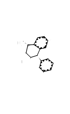 Cl.N[C@H]1CC[C@H](c2ccccc2)c2ccccc21